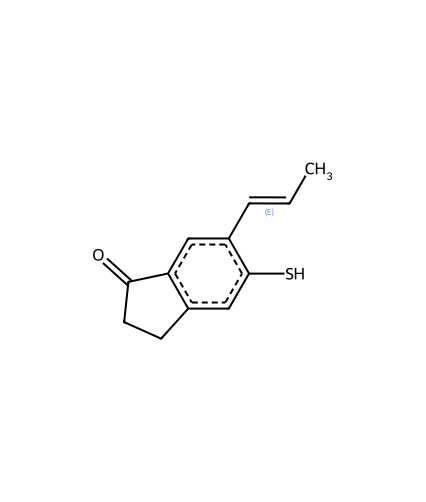 C/C=C/c1cc2c(cc1S)CCC2=O